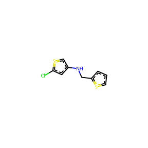 Clc1cc(NCc2cccs2)cs1